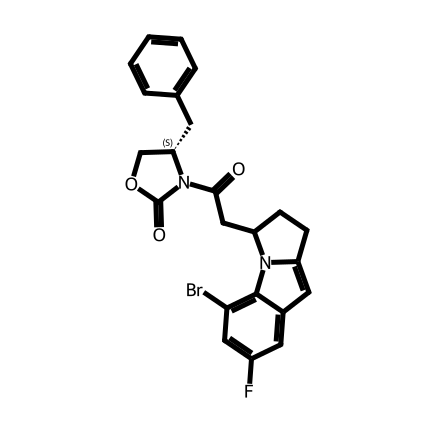 O=C(CC1CCc2cc3cc(F)cc(Br)c3n21)N1C(=O)OC[C@@H]1Cc1ccccc1